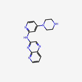 c1cnc2nc(Nc3cc(N4CCNCC4)ccn3)cnc2c1